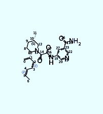 C=C(/C=C\C=C/C)[C@@H]1CC[C@H](C)CN1C(=O)C(=O)Nc1cncc(C(N)=O)c1